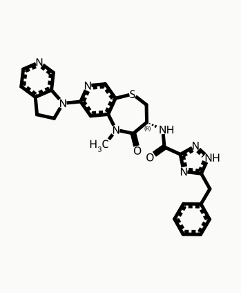 CN1C(=O)[C@@H](NC(=O)c2n[nH]c(Cc3ccccc3)n2)CSc2cnc(N3CCc4ccncc43)cc21